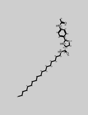 CCCCCCCCCCCCCCCCCCNC(=O)[C@H]1CSC(c2ccc(NC(C)=O)cc2)N1